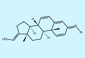 C[C@]12C=CC(=N[N])C=C1C=C[C@@H]1[C@@H]2CC[C@]2(C)C(=CO)CC[C@@H]12